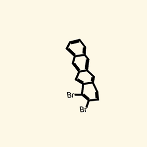 Brc1ccc2cc3cc4ccccc4cc3cc2c1Br